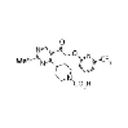 CSc1ncc(C(=O)COc2cccc(C(F)(F)F)n2)c(C2CCN(C(=O)O)CC2)n1